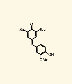 COc1cc(C=C2C=C(C(C)(C)C)C(=O)C(C(C)(C)C)=C2)ccc1O